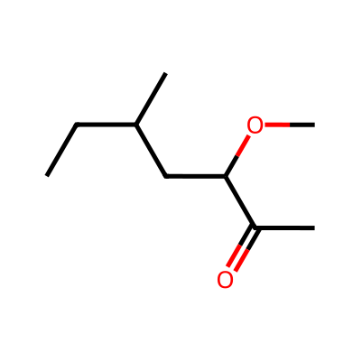 CCC(C)CC(OC)C(C)=O